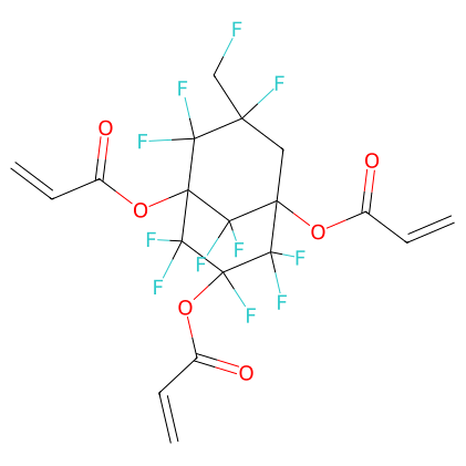 C=CC(=O)OC1(F)C(F)(F)C2(OC(=O)C=C)CC(F)(CF)C(F)(F)C(OC(=O)C=C)(C1(F)F)C2(F)F